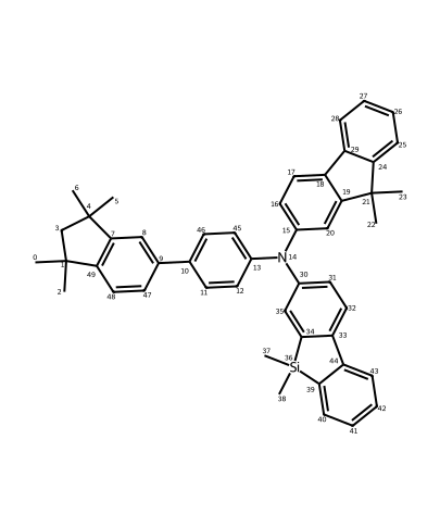 CC1(C)CC(C)(C)c2cc(-c3ccc(N(c4ccc5c(c4)C(C)(C)c4ccccc4-5)c4ccc5c(c4)[Si](C)(C)c4ccccc4-5)cc3)ccc21